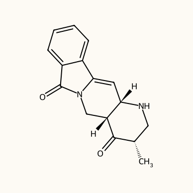 C[C@H]1CN[C@H]2C=C3c4ccccc4C(=O)N3C[C@H]2C1=O